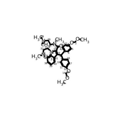 COCOc1ccc(C(c2ccc(OCOC)cc2)c2c(C(=O)N(C)CCN(C)C)n(CCN(C)C)c3ccccc23)cc1